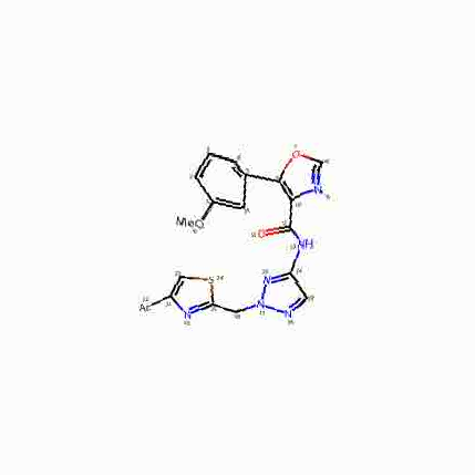 COc1cccc(-c2ocnc2C(=O)Nc2cnn(Cc3nc(C(C)=O)cs3)n2)c1